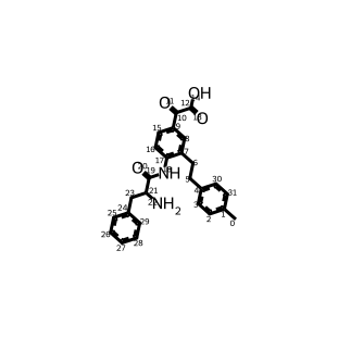 Cc1ccc(CCc2cc(C(=O)C(=O)O)ccc2NC(=O)C(N)Cc2ccccc2)cc1